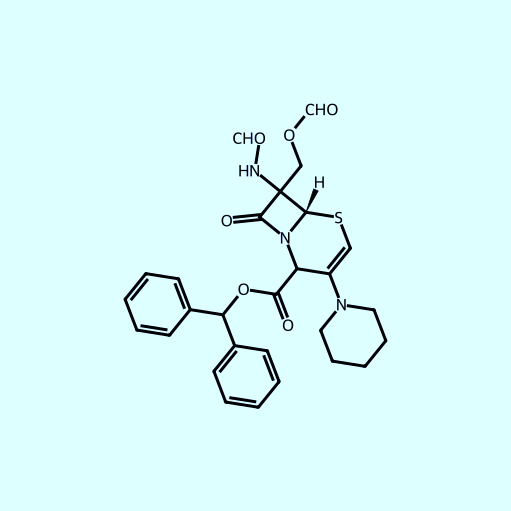 O=CNC1(COC=O)C(=O)N2C(C(=O)OC(c3ccccc3)c3ccccc3)C(N3CCCCC3)=CS[C@H]21